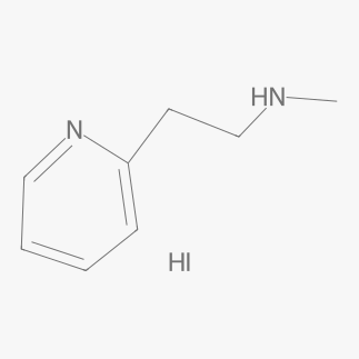 CNCCc1ccccn1.I